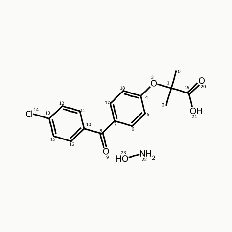 CC(C)(Oc1ccc(C(=O)c2ccc(Cl)cc2)cc1)C(=O)O.NO